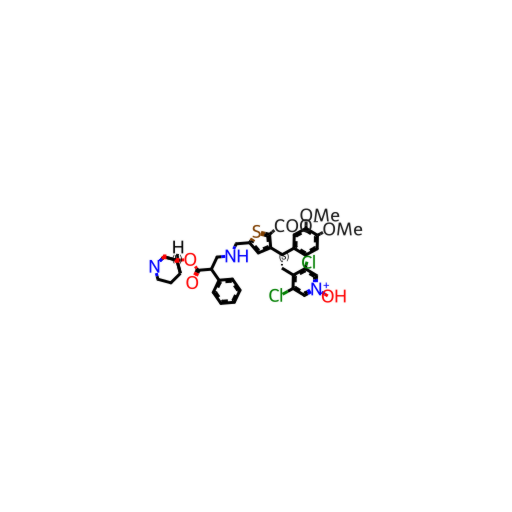 COc1ccc([C@H](Cc2c(Cl)c[n+](O)cc2Cl)c2cc(CNCC(C(=O)O[C@H]3CN4CCC3CC4)c3ccccc3)sc2C(=O)[O-])cc1OC